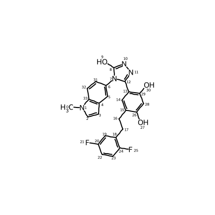 Cn1ccc2cc(-n3c(O)nnc3-c3cc(CCc4cc(F)ccc4F)c(O)cc3O)ccc21